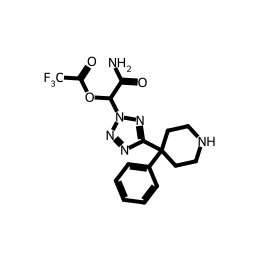 NC(=O)C(OC(=O)C(F)(F)F)n1nnc(C2(c3ccccc3)CCNCC2)n1